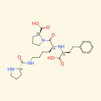 O=C(O)[C@H](CCc1ccccc1)N[C@@H](CCCCNC(=O)[C@@H]1CCCN1)C(=O)N1CCC[C@H]1C(=O)O